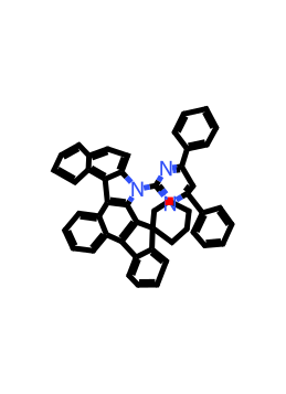 c1ccc(-c2cc(-c3ccccc3)nc(-n3c4ccc5ccccc5c4c4c5ccccc5c5c(c43)C3(CCCCC3)c3ccccc3-5)n2)cc1